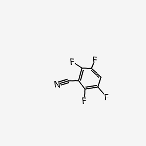 N#Cc1c(F)c(F)cc(F)c1F